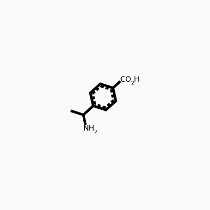 CC(N)c1ccc(C(=O)O)cc1